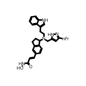 CCCc1cc(CN(CCc2c[nH]c3ccccc23)C2CCc3cc(/C=C/C(=O)NO)ccc32)[nH]n1